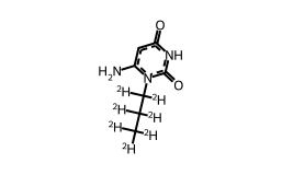 [2H]C([2H])([2H])C([2H])([2H])C([2H])([2H])n1c(N)cc(=O)[nH]c1=O